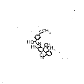 CCSc1ccc(C(O)c2nc3c(N(C)C)c(-c4ccccc4C#N)c(Cl)cc3[nH]2)cc1